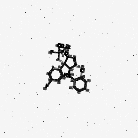 CCOC(=O)C(F)(F)C[C@]1(c2ccc(F)cc2)C(=O)C=C[C@H]1Nc1ccccc1Cl